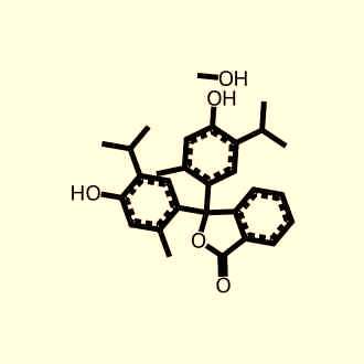 CO.Cc1cc(O)c(C(C)C)cc1C1(c2cc(C(C)C)c(O)cc2C)OC(=O)c2ccccc21